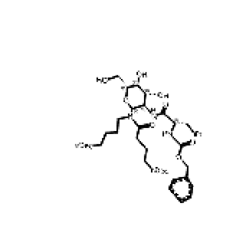 CCCCCCCCCCCCCCN(C(=O)CCCCCCCCCCCCC)[C@@H]1O[C@H](CO)[C@@H](O)[C@H](O)[C@H]1NC(=O)[C@H](CC(C)C)NC(=O)OCc1ccccc1